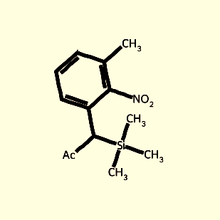 CC(=O)C(c1cc[c]c(C)c1[N+](=O)[O-])[Si](C)(C)C